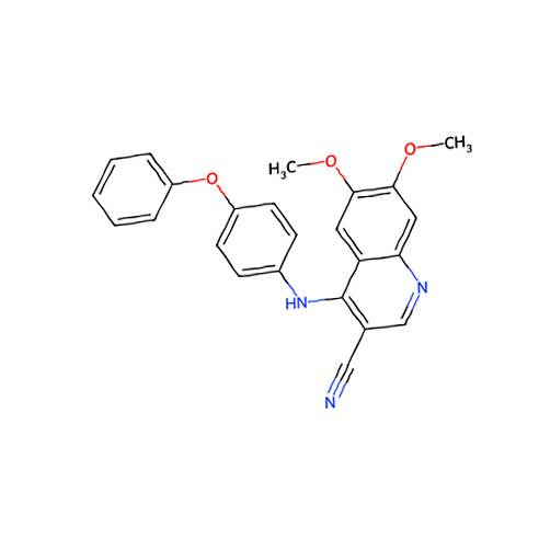 COc1cc2ncc(C#N)c(Nc3ccc(Oc4ccccc4)cc3)c2cc1OC